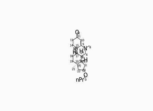 CCCO[C@H]1C[C@H]2[C@@H]3CN(C)C4=CC(=O)CC[C@]4(C)[C@H]3CC[C@]2(C)C1